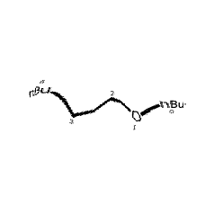 [CH2]CC[CH]OCCCCCC